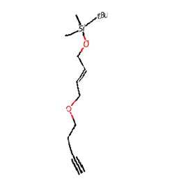 C#CCCOC/C=C/CO[Si](C)(C)C(C)(C)C